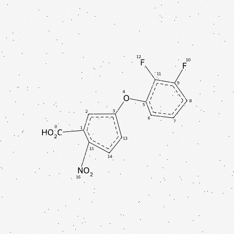 O=C(O)c1cc(Oc2cccc(F)c2F)ccc1[N+](=O)[O-]